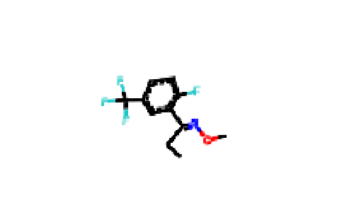 CCC(=NOC)c1cc(C(F)(F)F)ccc1F